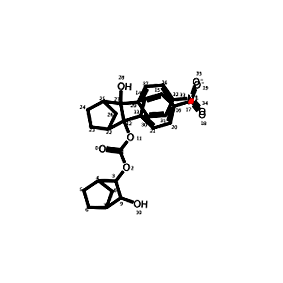 O=C(OC1C2CCC(C2)C1O)OC1(c2ccc([N+](=O)[O-])cc2)C2CCC(C2)C1(O)c1ccc([N+](=O)[O-])cc1